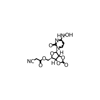 N#CCC(=O)OC[C@H]1O[C@@H](n2ccc(NO)nc2=O)[C@@H]2OC(=O)O[C@@H]21